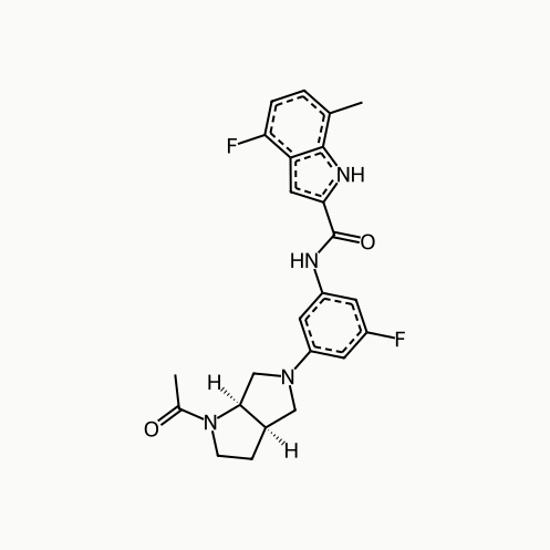 CC(=O)N1CC[C@@H]2CN(c3cc(F)cc(NC(=O)c4cc5c(F)ccc(C)c5[nH]4)c3)C[C@@H]21